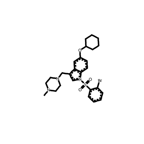 CN1CCN(Cc2cn(S(=O)(=O)c3ccccc3Br)c3ccc(OC4CCCCC4)cc23)CC1